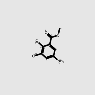 COC(=O)c1cc(N)cc(Cl)c1Br